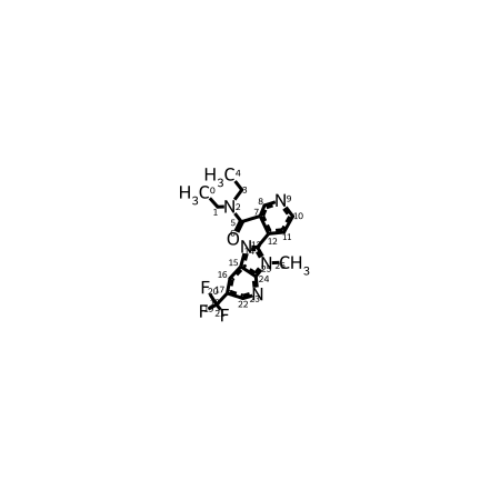 CCN(CC)C(=O)c1cnccc1-c1nc2cc(C(F)(F)F)cnc2n1C